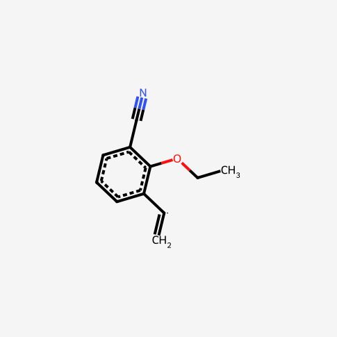 C=[C]c1cccc(C#N)c1OCC